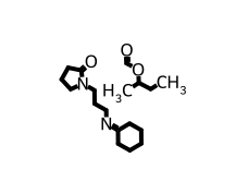 CCC(C)OC=O.O=C1CCCN1CCCN=C1CCCCC1